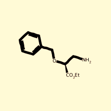 CCOC(=O)[C@H](CN)OCc1ccccc1